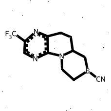 N#CB1CCN2c3ncc(C(F)(F)F)nc3CCC2C1